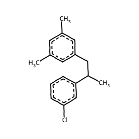 Cc1cc(C)cc(CC(C)c2cccc(Cl)c2)c1